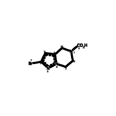 O=C(O)N1CCn2nc(Br)cc2C1